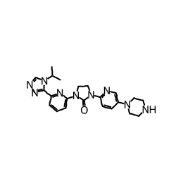 CC(C)n1cnnc1-c1cccc(N2CCN(c3ccc(N4CCNCC4)cn3)C2=O)n1